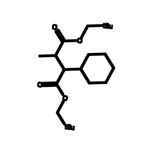 CC(C(=O)OCC(C)(C)C)C(C(=O)OCC(C)(C)C)C1CCCCC1